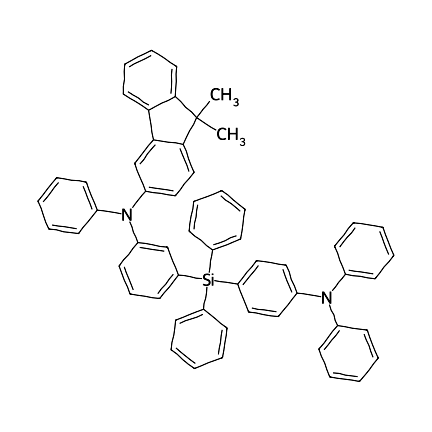 CC1(C)c2ccccc2-c2cc(N(c3ccccc3)c3cccc([Si](c4ccccc4)(c4ccccc4)c4ccc(N(c5ccccc5)c5ccccc5)cc4)c3)ccc21